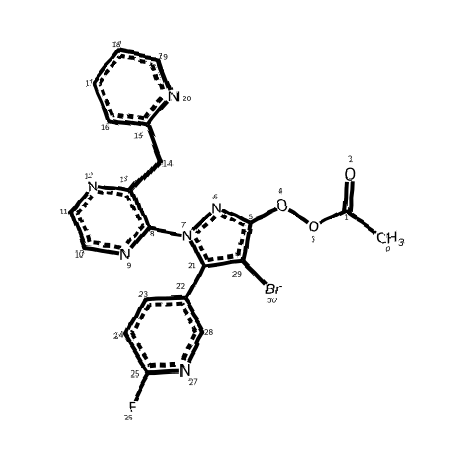 CC(=O)OOc1nn(-c2nccnc2Cc2ccccn2)c(-c2ccc(F)nc2)c1Br